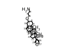 C[C@]12CCC(OCCCN)CC1=CC[C@@H]1[C@H]2CC[C@@]2(C)[C@H]1CCC2(O)c1ccoc1